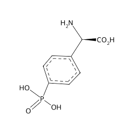 N[C@@H](C(=O)O)c1ccc(P(=O)(O)O)cc1